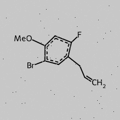 C=CCc1cc(Br)c(OC)cc1F